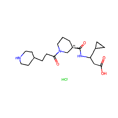 Cl.O=C(O)CC(NC(=O)[C@@H]1CCCN(C(=O)CCC2CCNCC2)C1)C1CC1